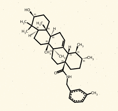 Cc1cccc(CNC(=O)[C@]23CC[C@@H](C)[C@H](C)[C@H]2C2=CC[C@@H]4[C@@]5(C)CC[C@H](O)C(C)(C)[C@@H]5CC[C@@]4(C)[C@]2(C)CC3)c1